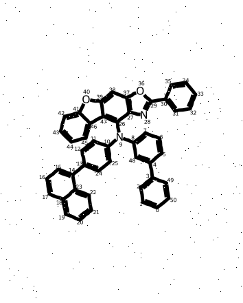 c1ccc(-c2cccc(N(c3ccc(-c4cccc5ccccc45)cc3)c3c4nc(-c5ccccc5)oc4cc4oc5ccccc5c34)c2)cc1